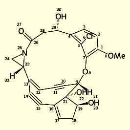 COc1ccc2c(Cl)c1O[C@H]1C#C/C=C(\C#CC3=CC[C@H](O)[C@@]31O)[C@@H]1CN1C(=O)C[C@@H]2O